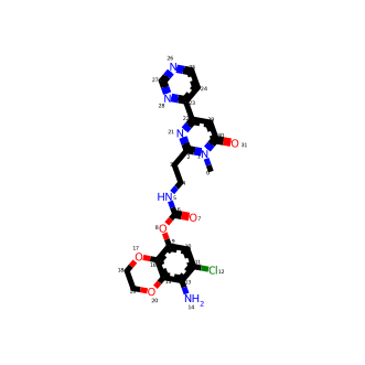 Cn1c(CCNC(=O)Oc2cc(Cl)c(N)c3c2OCCO3)nc(-c2ccncn2)cc1=O